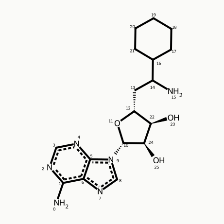 Nc1ncnc2c1ncn2[C@@H]1O[C@H](CC(N)C2CCCCC2)[C@@H](O)[C@H]1O